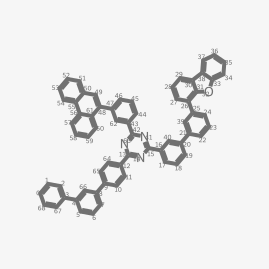 c1ccc(-c2cccc(-c3ccc(-c4nc(-c5cccc(-c6cccc(-c7cccc8c7oc7ccccc78)c6)c5)nc(-c5cccc(-c6cc7ccccc7c7ccccc67)c5)n4)cc3)c2)cc1